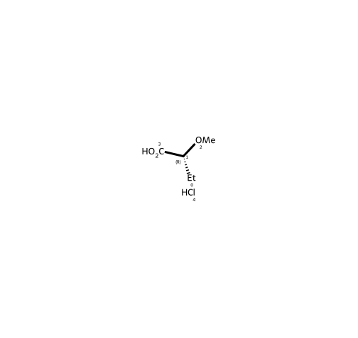 CC[C@@H](OC)C(=O)O.Cl